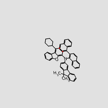 CC1(C)c2ccccc2-c2cc(N(c3c(-c4cccc5ccccc45)ccc4ccccc34)c3ccc(C4CCCCC4)c4c3oc3ccccc34)ccc21